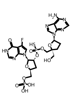 Nc1ncnc2c1ncn2[C@H]1CC[C@@](CO)(COP(=O)(S)O[C@@H]2C[C@@H](COP(=O)(O)O)O[C@H]2n2cc(F)c3c(=O)[nH]cnc32)O1